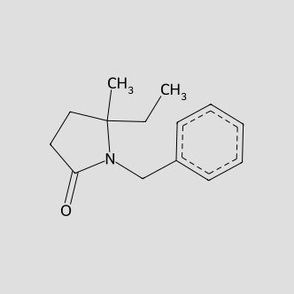 CCC1(C)CCC(=O)N1Cc1ccccc1